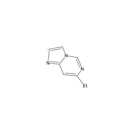 CCc1cc2n[c]cn2cn1